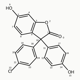 O=C1Oc2cc(O)ccc2C1(c1ccc(O)cc1)c1ccc(Cl)cc1